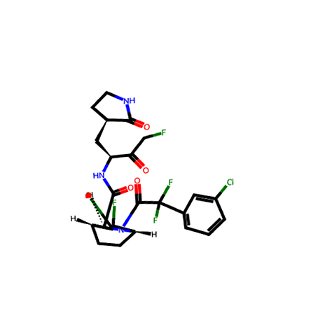 O=C1NCC[C@@H]1C[C@H](NC(=O)[C@@H]1[C@H]2CC[C@H](CC2(F)F)N1C(=O)C(F)(F)c1cccc(Cl)c1)C(=O)CF